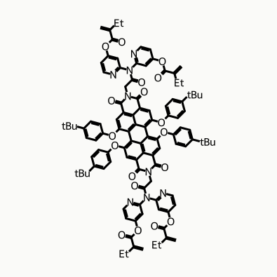 C=C(CC)C(=O)Oc1ccnc(N(C(=O)CN2C(=O)c3cc(Oc4ccc(C(C)(C)C)cc4)c4c5c(Oc6ccc(C(C)(C)C)cc6)cc6c7c(cc(Oc8ccc(C(C)(C)C)cc8)c(c8c(Oc9ccc(C(C)(C)C)cc9)cc(c3c48)C2=O)c75)C(=O)N(CC(=O)N(c2cc(OC(=O)C(=C)CC)ccn2)c2cc(OC(=O)C(=C)CC)ccn2)C6=O)c2cc(OC(=O)C(=C)CC)ccn2)c1